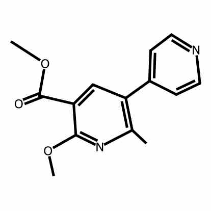 COC(=O)c1cc(-c2ccncc2)c(C)nc1OC